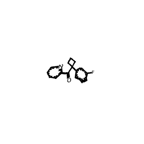 O=C(c1ccccn1)C1(c2cccc(F)c2)CCC1